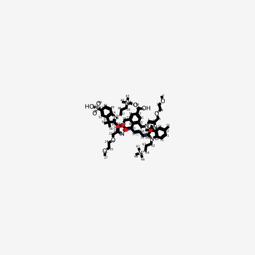 COCCOCc1cn(Cc2cc(C(=O)O)cc(Cn3cc(COCCOC)nn3)c2C(=C\C=C\C2=[N+](CCC[N+](C)(C)C)c3ccc(S(=O)(=O)O)cc3C2(C)C)/C=C/C=C2/N(CCC[N+](C)(C)C)c3ccc(C)cc3C2(C)C)nn1